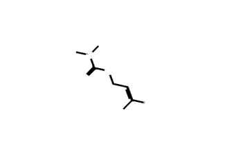 CC/C(C)=C/COC(=S)N(C)C